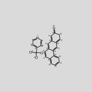 ClC(Cl)(Cl)c1ncncn1.O=C1C=c2cc3ccc4ccccc4c3cc2=CC1